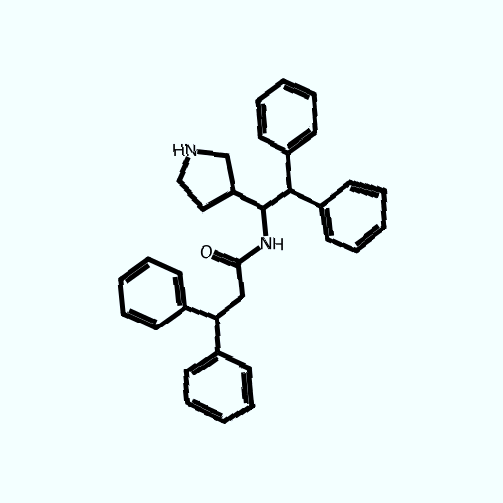 O=C(CC(c1ccccc1)c1ccccc1)NC(C1CCNC1)C(c1ccccc1)c1ccccc1